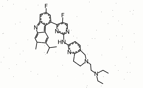 CCN(CC)CCN1CCc2nc(Nc3ncc(F)c(-c4cc(F)cc5c4=C4C=C(C(C)C)C(C)C=C4N=5)n3)ccc2C1